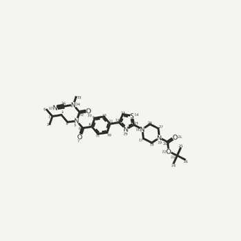 CC(C)CCN(C(=O)c1ccc(-c2csc(N3CCN(C(=O)OC(C)(C)C)CC3)n2)cc1)C(=O)N(C)C#N